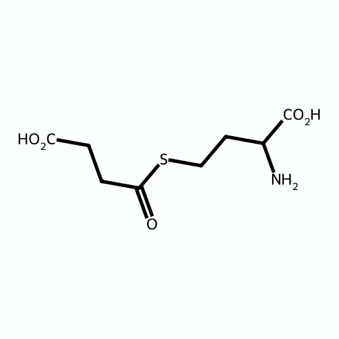 NC(CCSC(=O)CCC(=O)O)C(=O)O